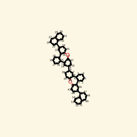 c1ccc2c(c1)-c1cc(-c3ccc4c(c3)-c3ccccc3-c3cc(-c5cccc6ccccc56)ccc3O4)ccc1Oc1ccc(-c3cccc4ccccc34)cc1-2